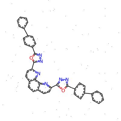 c1ccc(-c2ccc(-c3nnc(-c4ccc5ccc6ccc(-c7nnc(-c8ccc(-c9ccccc9)cc8)o7)nc6c5n4)o3)cc2)cc1